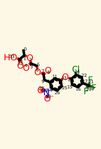 CC(OC(=O)COC(=O)Cc1cc(Oc2ccc(C(F)(F)F)cc2Cl)ccc1[N+](=O)[O-])C(=O)O